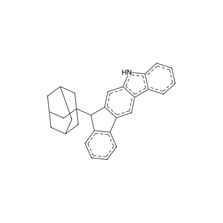 c1ccc2c(c1)-c1cc3c(cc1C2C12CC4CC(CC(C4)C1)C2)[nH]c1ccccc13